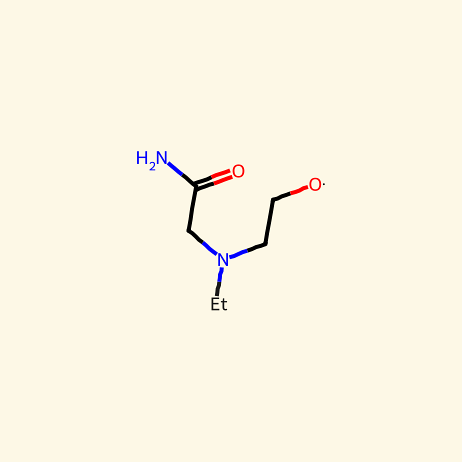 CCN(CC[O])CC(N)=O